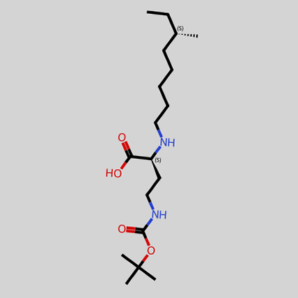 CC[C@H](C)CCCCCN[C@@H](CCNC(=O)OC(C)(C)C)C(=O)O